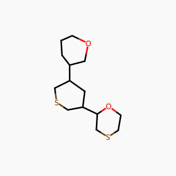 C1COCC(C2CSCC(C3CSCCO3)C2)C1